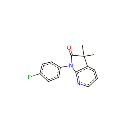 CC1(C)C(=O)N(c2ccc(F)cc2)c2ncccc21